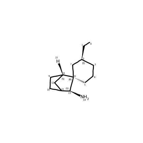 CC[C@H]1CCC[C@@]2(C1)[C@H]1CCC(C1)[C@@H]2N